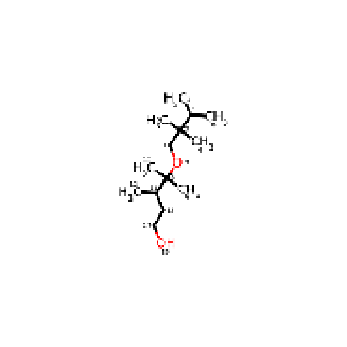 CC(C)C(C)(C)COC(C)(C)C(C)CCO